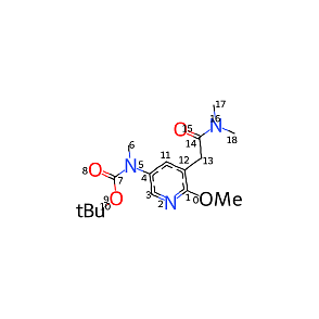 COc1ncc(N(C)C(=O)OC(C)(C)C)cc1CC(=O)N(C)C